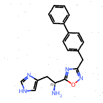 N[C@@H](Cc1c[nH]cn1)c1nc(Cc2ccc(-c3ccccc3)cc2)no1